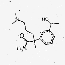 CC(O)c1cccc(C(C)(CCCN(C)C)C(N)=O)c1